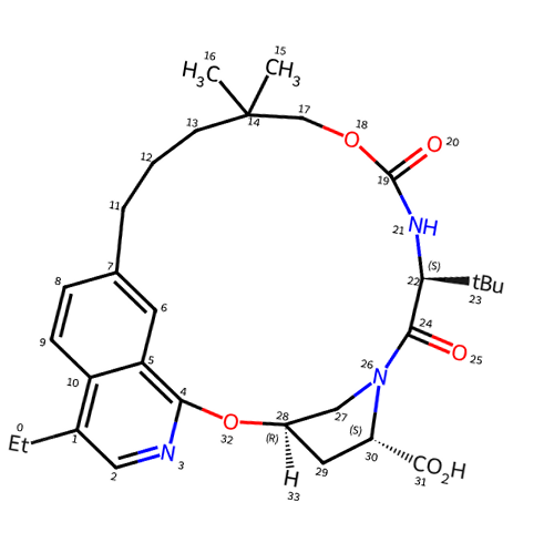 CCc1cnc2c3cc(ccc13)CCCC(C)(C)COC(=O)N[C@@H](C(C)(C)C)C(=O)N1C[C@@H](C[C@H]1C(=O)O)O2